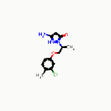 Cc1ccc(OCC(C)n2[nH]c(N)cc2=O)cc1Cl